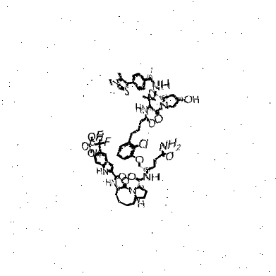 Cc1ncsc1-c1ccc([C@H](C)NC(=O)[C@@H]2C[C@@H](O)CN2C(=O)[C@@H](NC(=O)CCCc2cccc(OC[C@H](CCC(N)=O)NC(=O)[C@@H]3CC[C@@H]4CCCC[C@H](NC(=O)c5cc6cc(C(F)(F)P(=O)(O)O)ccc6[nH]5)C(=O)N43)c2Cl)C(C)(C)C)cc1